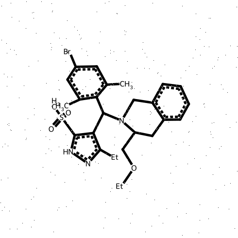 CCOCC1Cc2ccccc2CN1C(c1c(C)cc(Br)cc1C)c1c(CC)n[nH]c1S(C)(=O)=O